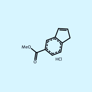 COC(=O)c1ccc2c(c1)C=CC2.Cl